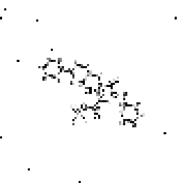 C[C@H](N[C@@H](Cc1ccc(-c2ccccc2)cc1Cl)C(=O)OCc1ccccc1)C(=O)OC(C)(C)C